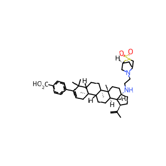 C=C(C)[C@@H]1CC[C@]2(NCCN3C[C@@H]4CC3CS4(=O)=O)CC[C@]3(C)[C@H](CC[C@@H]4[C@@]5(C)CC=C(c6ccc(C(=O)O)cc6)C(C)(C)[C@@H]5CC[C@]43C)[C@@H]12